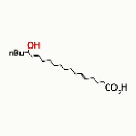 CCCCC(O)C=CCCCCCCCC=CCCCC(=O)O